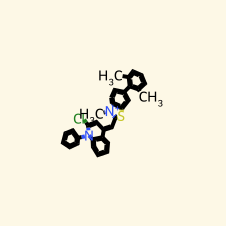 Cc1cccc(C)c1-c1ccc2c(c1)sc(C=C1C=C(Cl)N(c3ccccc3)c3ccccc31)[n+]2C